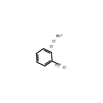 Pc1ccccc1.[Cl-].[Cl-].[Cl-].[Rh+3]